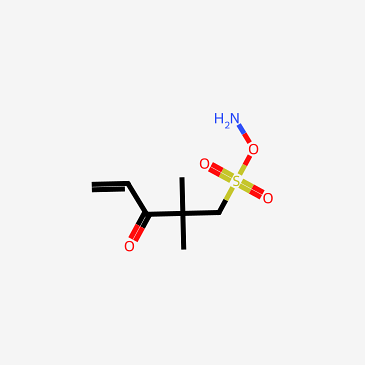 C=CC(=O)C(C)(C)CS(=O)(=O)ON